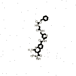 CCCN(CCC)C(=O)C1=Cc2ccc(C(=O)Nc3cncc(CNC(=O)CNC(=O)OCc4ccccc4)c3)cc2N=C(N)C1